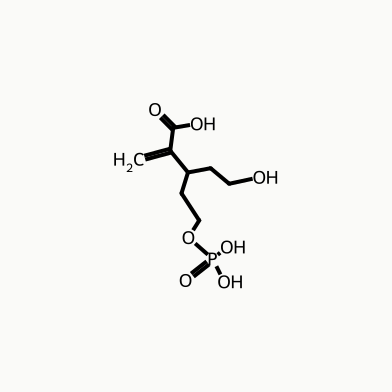 C=C(C(=O)O)C(CCO)CCOP(=O)(O)O